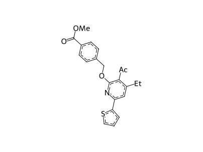 CCc1cc(-c2cccs2)nc(OCc2ccc(C(=O)OC)cc2)c1C(C)=O